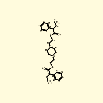 CCC(C(=O)OCCN1CCN(CCOC(=O)C(CC)c2ccccc2)CC1)c1ccccc1